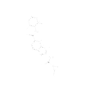 Cc1cccc(Cl)c1NC(=O)c1ccc2nc(NC(=O)C3CC3C)sc2c1